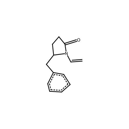 C=CN1C(=O)CCC1Cc1ccccc1